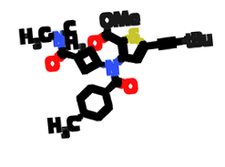 COC(=O)c1sc(C#CC(C)(C)C)cc1N(C(=O)[C@H]1CC[C@H](C)CC1)[C@H]1C[C@H](C(=O)N(C)C)C1